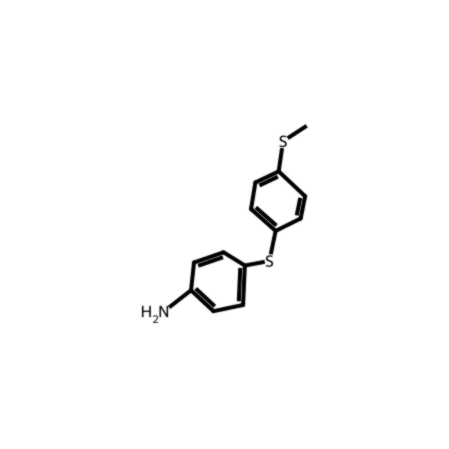 CSc1ccc(Sc2ccc(N)cc2)cc1